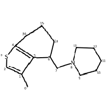 Cc1csc2c1C(CN1CCCCC1)CCC2